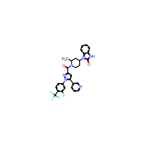 CC1CC(n2c(=O)[nH]c3ccccc32)CCN1C(=O)c1cc(-c2cccnc2)n(-c2ccc(C(F)(F)F)c(F)c2)n1